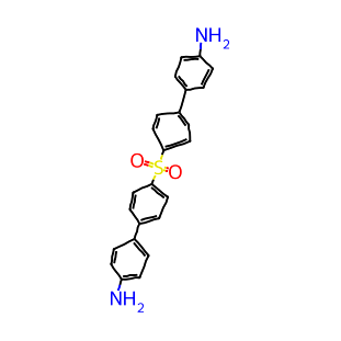 Nc1ccc(-c2ccc(S(=O)(=O)c3ccc(-c4ccc(N)cc4)cc3)cc2)cc1